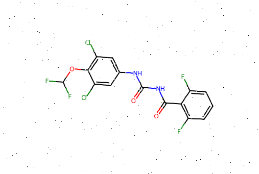 O=C(NC(=O)c1c(F)cccc1F)Nc1cc(Cl)c(OC(F)F)c(Cl)c1